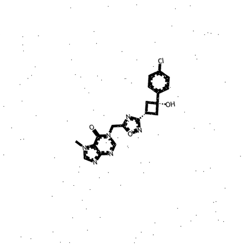 Cn1cnc2ncn(Cc3nc([C@H]4C[C@](O)(c5ccc(Cl)cc5)C4)no3)c(=O)c21